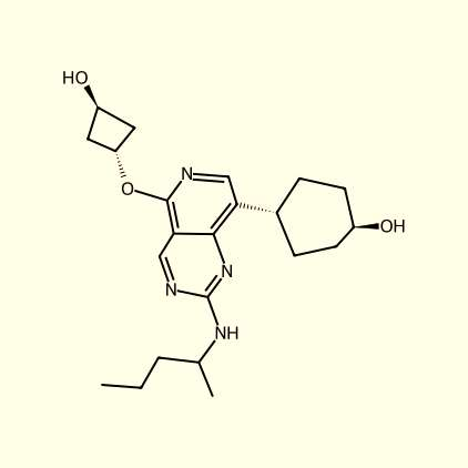 CCCC(C)Nc1ncc2c(O[C@H]3C[C@H](O)C3)ncc([C@H]3CC[C@H](O)CC3)c2n1